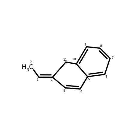 CC=C1C=Cc2ccccc2C1